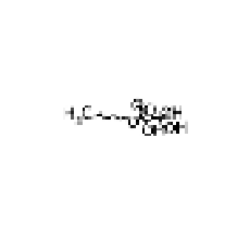 CCCCCCCOC1=C(O)C(C(O)CO)OC1=O